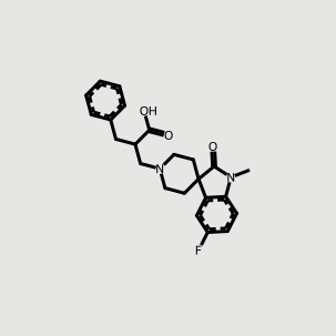 CN1C(=O)C2(CCN(CC(Cc3ccccc3)C(=O)O)CC2)c2cc(F)ccc21